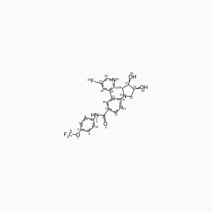 O=C(Nc1ccc(OC(F)(F)F)cc1)c1cnc(N2C[C@@H](O)[C@@H](O)C2)c(-c2cncc(F)c2)c1